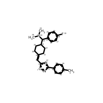 Cc1ccc(-c2noc(C=C3CCC(C(c4ccc(F)cc4)N(C)C)CC3)n2)cc1